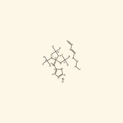 C=CC=CCCCC.CC(C)(C)CP(CC(C)(C)C)(CC(C)(C)C)=NC1=CC=CC1.[Ti]